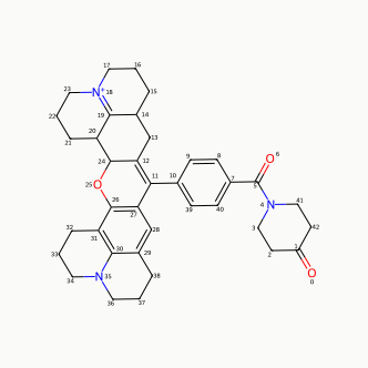 O=C1CCN(C(=O)c2ccc(C3=C4CC5CCC[N+]6=C5C(CCC6)C4Oc4c3cc3c5c4CCCN5CCC3)cc2)CC1